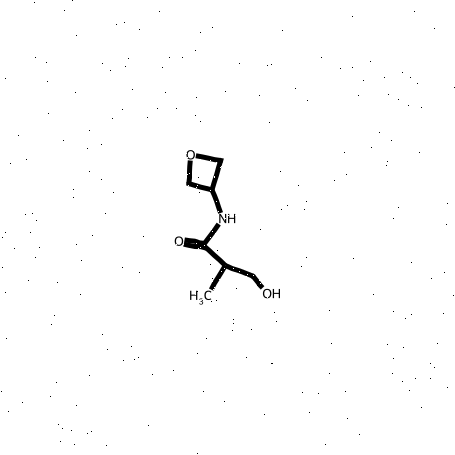 CC(CO)C(=O)NC1COC1